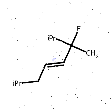 CC(C)C/C=C/C(C)(F)C(C)C